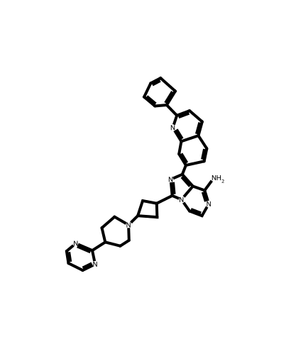 Nc1nccn2c(C3CC(N4CCC(c5ncccn5)CC4)C3)nc(-c3ccc4ccc(-c5ccccc5)nc4c3)c12